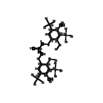 CCc1c(CO[PH](=O)OCc2cc(C(C)(C)C)c(O)c(C(C)(C)C)c2CC)cc(C(C)(C)C)c(O)c1C(C)(C)C